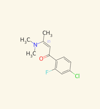 C/C(=C/C(=O)c1ccc(Cl)cc1F)N(C)C